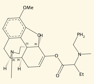 CCC(C(=O)OC1=CC[C@H]2[C@H]3Cc4ccc(OC)c5c4[C@@]2(CCN3C)[C@H]1O5)N(C)CP